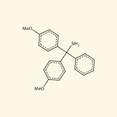 COc1ccc(C([SiH2])(c2ccccc2)c2ccc(OC)cc2)cc1